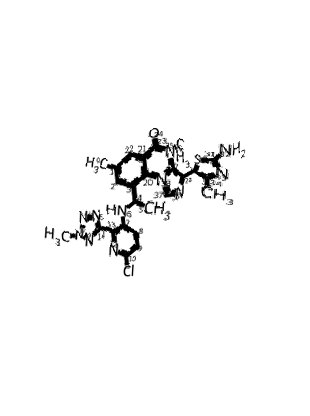 Cc1cc(C(C)Nc2ccc(Cl)nc2-c2nnn(C)n2)c2c(c1)c(=O)n(C)c1c(-c3sc(N)nc3C)ncn21